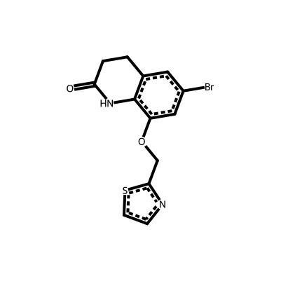 O=C1CCc2cc(Br)cc(OCc3nccs3)c2N1